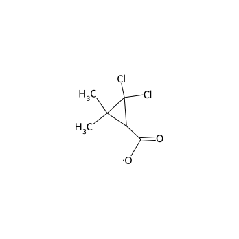 CC1(C)C(C([O])=O)C1(Cl)Cl